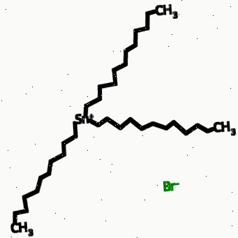 CCCCCCCCCCC[CH2][Sn+]([CH2]CCCCCCCCCCC)[CH2]CCCCCCCCCCC.[Br-]